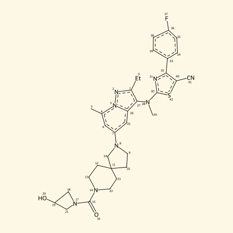 CCc1nn2c(C)cc(N3CCC4(CCN(C(=O)N5CC(O)C5)CC4)C3)cc2c1N(C)c1nc(-c2ccc(F)cc2)c(C#N)s1